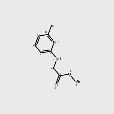 CCCCOC(=O)CNc1cccc(C)n1